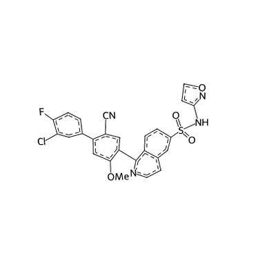 COc1cc(-c2ccc(F)c(Cl)c2)c(C#N)cc1-c1nccc2cc(S(=O)(=O)Nc3ccon3)ccc12